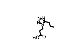 CCCc1nnnn1CCC(=O)O